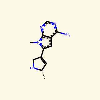 C[C@H]1C=C(c2cc3c(N)ncnc3n2C)CN1